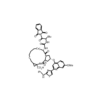 COc1ccc2c(O[C@@H]3C[C@H]4C(=O)N[C@]5(C(=O)O)CC5CCCCCCC[C@H](NC(=O)NC(C(=O)N5C(=O)c6ccccc6C5=O)C(C)(C)C)C(=O)N4C3)cc(-c3csc(NC(C)C)n3)nc2c1